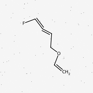 C=COCC=C=CF